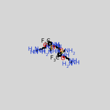 N=C(N)NCCCCC(=O)Nc1cc(C(F)(F)F)cc(NC(=O)c2cc(C(=O)Nc3cc(C(F)(F)F)cc(NC(=O)CCCCNC(=N)N)c3SCCN)ncn2)c1SCCN